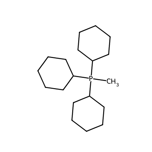 C[P](C1CCCCC1)(C1CCCCC1)C1CCCCC1